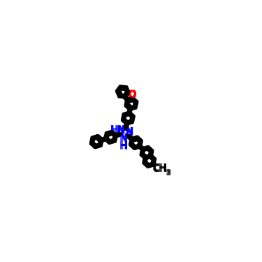 CC1CCC2CC(C3CC=C(C4N=C(C5CCC(C6=CC7=C(CC6)OC6C=CC=CC76)CC5)NC(C5C=CC(C6=CCCCC6)CC5)N4)CC3)CCC2C1